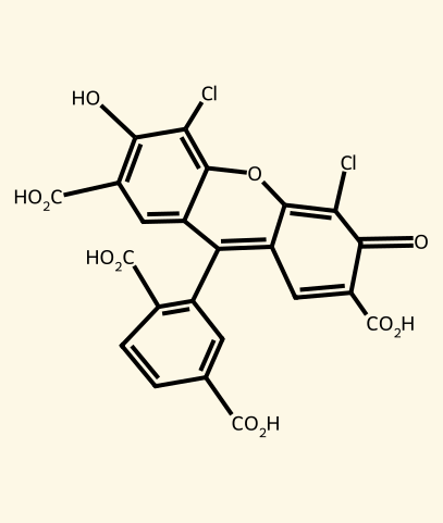 O=C(O)c1ccc(C(=O)O)c(-c2c3cc(C(=O)O)c(=O)c(Cl)c-3oc3c(Cl)c(O)c(C(=O)O)cc23)c1